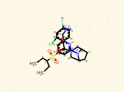 CCC(CC)S(=O)(=O)c1cc(CN)nc(N2C3CCC2CN(C(=O)c2ccc(F)cc2Cl)C3)c1